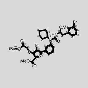 COC(=O)c1sc(-c2cccc(N(C(=O)NC(Cc3cccc(Br)c3)OC)C3CCCCC3)c2)c(Br)c1OCC(=O)OC(C)(C)C